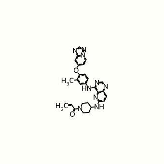 C=CC(=O)N1CCC(Nc2ccc3ncnc(Nc4ccc(Oc5ccn6ncnc6c5)c(C)c4)c3n2)CC1